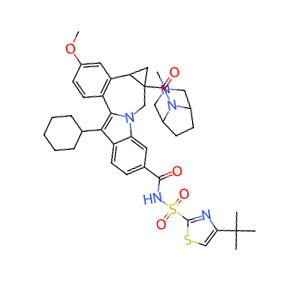 COc1ccc2c(c1)C1CC1(C(=O)N1C3CCC1CN(C)C3)Cn1c-2c(C2CCCCC2)c2ccc(C(=O)NS(=O)(=O)c3nc(C(C)(C)C)cs3)cc21